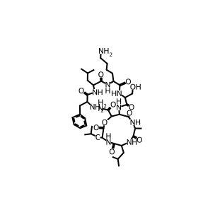 CC(C)CC(NC(=O)C(N)Cc1ccccc1)C(=O)NC(CCCCN)C(=O)NC(CO)C(=O)NC1C(=O)NC(C)C(=O)NC(CC(C)C)C(=O)NC(CC(C)C)C(=O)OC1C(N)=O